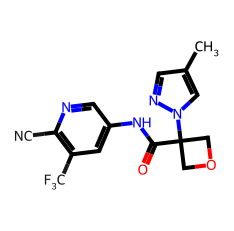 Cc1cnn(C2(C(=O)Nc3cnc(C#N)c(C(F)(F)F)c3)COC2)c1